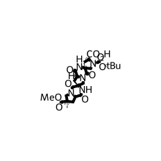 COC(=O)[C@]1(C)CC2C(=O)N[C@]3(C[C@H]4C(=O)N[C@]5(C[C@@H](C(=O)O)N(C(=O)OC(C)(C)C)C5)C(=O)N4C3)C(=O)N2C1